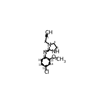 C#CCN1CCN/C1=N\c1ccc(Cl)cc1OC